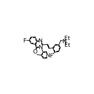 CCN(CC)Cc1ccc(F)c(/C=C/c2nc3ccc(F)cc3c(=O)n2-c2cnccc2C)c1